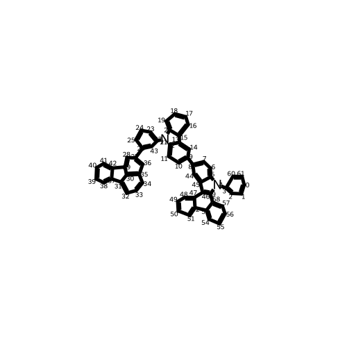 c1ccc(-n2c3ccc(-c4ccc5c(c4)c4ccccc4n5-c4cccc(-c5cc6c7c(cccc7c5)-c5ccccc5-6)c4)cc3c3c4ccccc4c4ccccc4c32)cc1